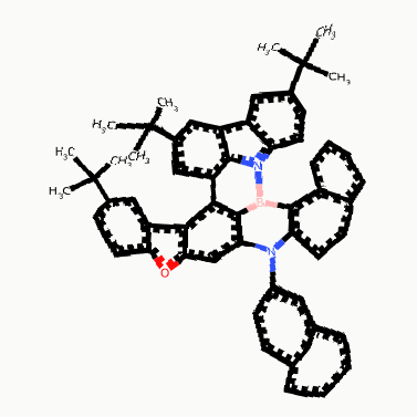 CC(C)(C)c1ccc2oc3cc4c5c(c3c2c1)-c1cc(C(C)(C)C)cc2c3cc(C(C)(C)C)ccc3n(c12)B5c1c(ccc2ccccc12)N4c1ccc2ccccc2c1